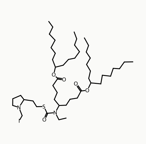 CCCCCCCC(CCCCCCC)OC(=O)CCCC(CCCC(=O)OC(CCCCCCC)CCCCCCC)N(CC)C(=O)SCCC1CCCN1CI